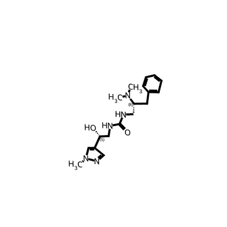 CN(C)[C@@H](CNC(=O)NC[C@@H](O)c1cnn(C)c1)Cc1ccccc1